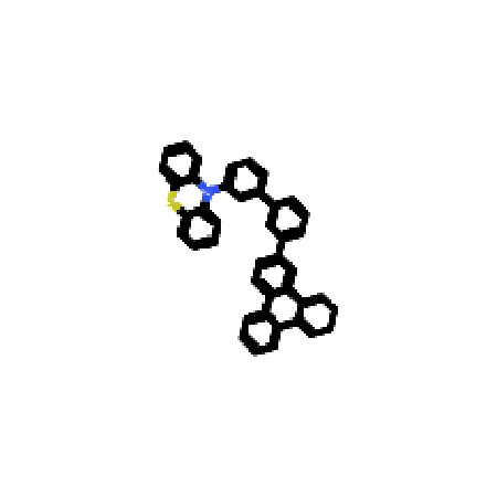 C1=c2c(c3cc(-c4cccc(-c5cccc(N6c7ccccc7Sc7ccccc76)c5)c4)ccc3c3ccccc23)=CCC1